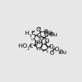 CCC(C)OC(=O)Oc1ccc(C[C@H](NCC(C)OC(=O)C(C)CC)C(=O)O)cc1OC(=O)OC(C)CC